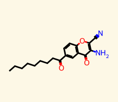 CCCCCCCCC(=O)c1ccc2oc(C#N)c(N)c(=O)c2c1